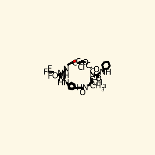 CC1(C)CNC(=O)c2ccc(cc2)Nc2nc(nc(OCC(F)(F)F)n2)NCc2ccc(c(Cl)c2)OCCCN(C(=O)C(=O)NC2CCCCC2)C1